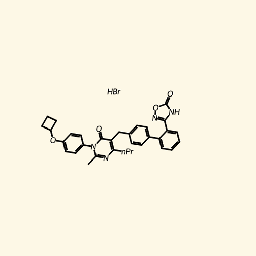 Br.CCCc1nc(C)n(-c2ccc(OC3CCC3)cc2)c(=O)c1Cc1ccc(-c2ccccc2-c2noc(=O)[nH]2)cc1